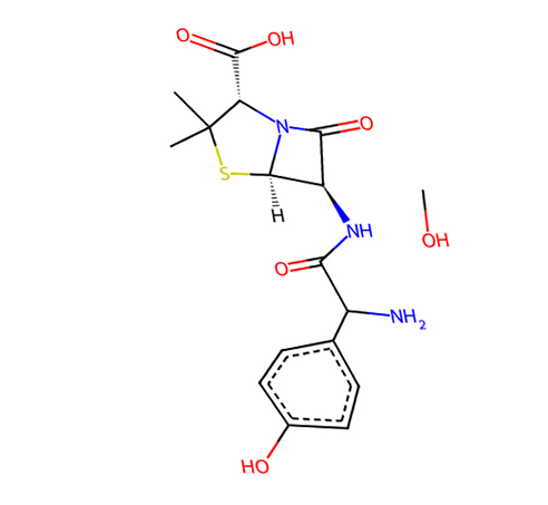 CC1(C)S[C@@H]2[C@H](NC(=O)C(N)c3ccc(O)cc3)C(=O)N2[C@H]1C(=O)O.CO